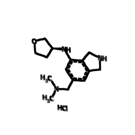 CN(C)Cc1cc2c(c(N[C@H]3CCOC3)c1)CNC2.Cl